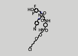 N#Cc1ccc(/C=C/C2=NC(=C\c3cc(F)c(O)c(F)c3)/C(=O)N2CC(=O)NC2CCC(C(=O)NCCOCCOCCCCCCCl)CC2)cc1